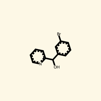 OC(c1cccc(Br)c1)c1ccccn1